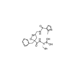 CC(C)C[C@H](NC(=O)C1(Cc2ccccc2)CC(CNC(=O)c2ccnn2C)=NO1)B(O)O